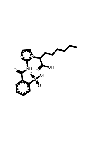 CCCCCCC(C(=O)O)n1ccnc1NC(=O)c1ccccc1S(=O)(=O)O